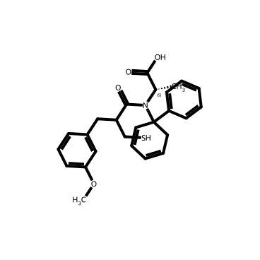 COc1cccc(CC(CS)C(=O)N([C@@H](C)C(=O)O)C2(c3ccccc3)C=CC=CC2)c1